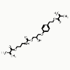 C=C(C)C(=O)OCCCNC(=O)OCC(O)COc1ccc(CCOC(=O)C(=C)C)cc1